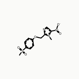 Cn1c([N+](=O)[O-])cnc1COc1ccc(S(C)(=O)=O)cc1